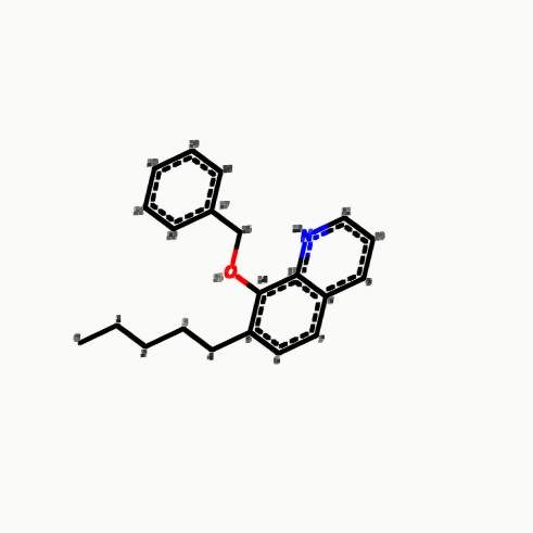 CCCCCc1ccc2cccnc2c1OCc1ccccc1